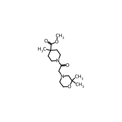 COC(=O)C1(C)CCN(C(=O)CN2CCOC(C)(C)C2)CC1